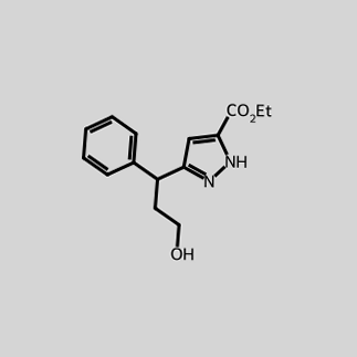 CCOC(=O)c1cc(C(CCO)c2ccccc2)n[nH]1